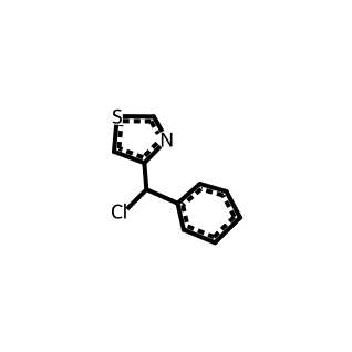 ClC(c1ccccc1)c1cscn1